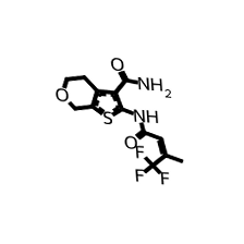 CC(=CC(=O)Nc1sc2c(c1C(N)=O)CCOC2)C(F)(F)F